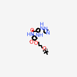 COc1cc2c(cc1OCCCCO[Si](C)(C)C(C)(C)C)Nc1cc(Nc3ccncn3)ccc1C(=O)N2